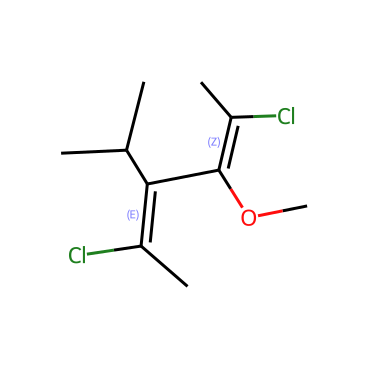 COC(=C(/C)Cl)/C(=C(\C)Cl)C(C)C